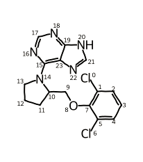 Clc1cccc(Cl)c1OCC1CCCN1c1ncnc2[nH]cnc12